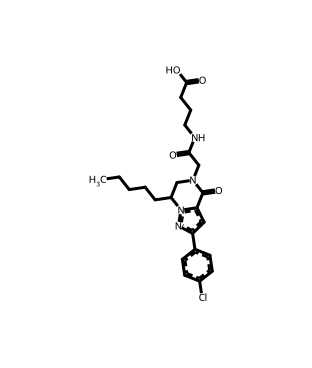 CCCCCC1CN(CC(=O)NCCCC(=O)O)C(=O)c2cc(-c3ccc(Cl)cc3)nn21